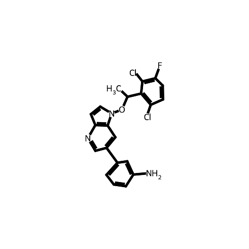 CC(On1ccc2ncc(-c3cccc(N)c3)cc21)c1c(Cl)ccc(F)c1Cl